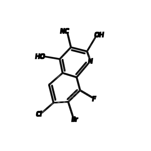 N#Cc1c(O)nc2c(F)c(Br)c(Cl)cc2c1O